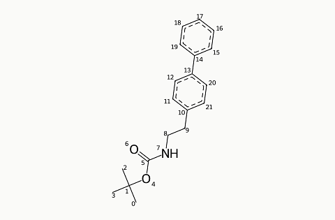 CC(C)(C)OC(=O)NCCc1ccc(-c2ccccc2)cc1